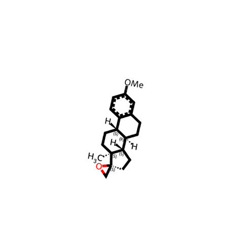 COc1ccc2c(c1)CC[C@@H]1[C@@H]2CC[C@@]2(C)[C@H]1CC[C@@]21CO1